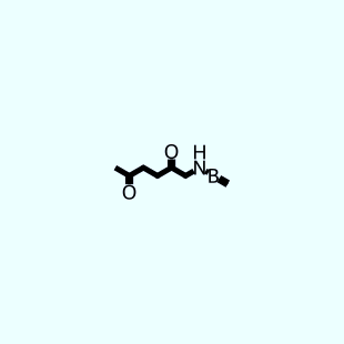 C=BNCC(=O)CCC(C)=O